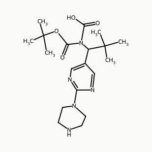 CC(C)(C)OC(=O)N(C(=O)O)C(c1cnc(N2CCNCC2)nc1)C(C)(C)C